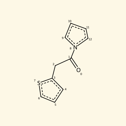 O=C(Cc1cccs1)n1cccc1